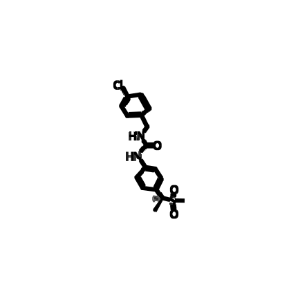 C[C@@H](c1ccc(NC(=O)NCc2ccc(Cl)cc2)cc1)S(C)(=O)=O